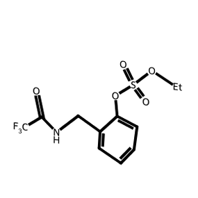 CCOS(=O)(=O)Oc1ccccc1CNC(=O)C(F)(F)F